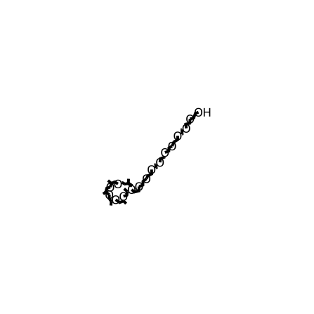 C=C(C)CCOCC(C)OCC(C)OCC(C)OCC(C)OCC(C)OCCOCCOCCOCCOCCOCCOCCOCCOCCOCCO